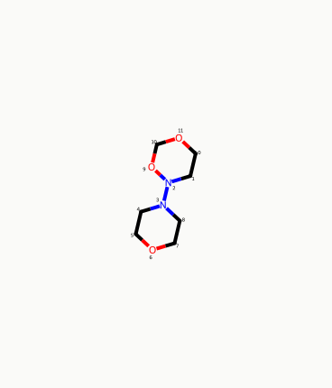 [CH]1CN(N2CCOCC2)OCO1